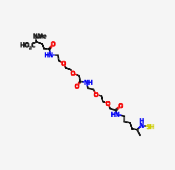 CNC(CCC(=O)NCCOCCOCC(=O)NCCOCCOCC(=O)NCCCCC(C)NS)C(=O)O